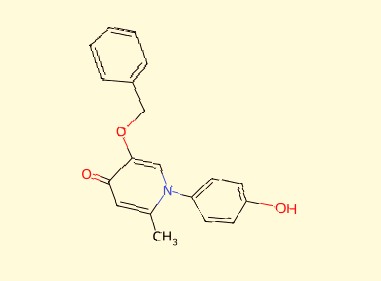 Cc1cc(=O)c(OCc2ccccc2)cn1-c1ccc(O)cc1